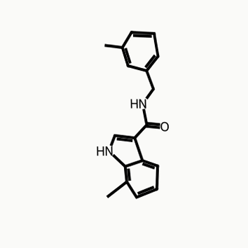 Cc1cccc(CNC(=O)c2c[nH]c3c(C)cccc23)c1